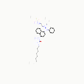 CCCCCCCCNC(=O)Nc1ccc(N(c2ccccc2C)N(CC)CCNS(C)(=O)=O)c2ccccc12